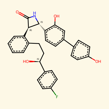 O=C1N[C@H](c2ccc(-c3ccc(O)cc3)cc2O)[C@H]1c1ccccc1CC[C@H](O)c1ccc(F)cc1